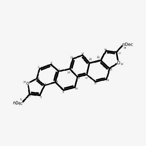 CCCCCCCCCCc1cc2c(ccc3c2ccc2c4ccc5oc(CCCCCCCCCC)cc5c4ccc32)o1